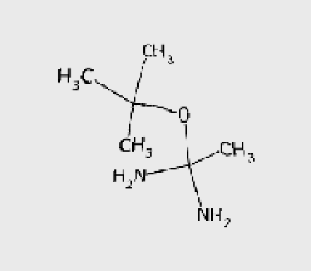 CC(C)(C)OC(C)(N)N